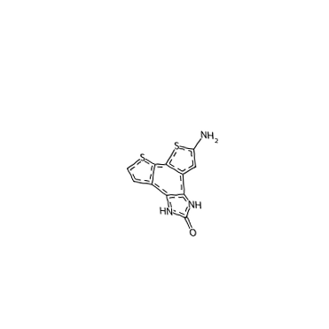 Nc1cc2c3[nH]c(=O)[nH]c3c3ccsc3c2s1